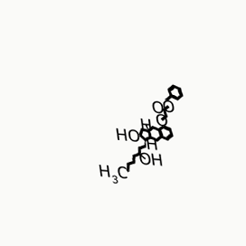 CCCCC[C@H](O)CC[C@H]1C(O)C[C@@H]2Cc3c(cccc3OCC(=O)OCc3ccccc3)C[C@@H]21